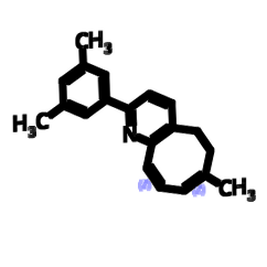 C/C1=C/C=C\c2nc(-c3cc(C)cc(C)c3)ccc2CC1